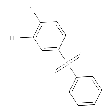 Nc1ccc(S(=O)(=O)c2ccccc2)cc1O